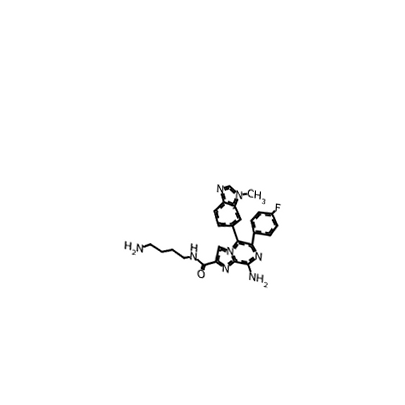 Cn1cnc2ccc(-c3c(-c4ccc(F)cc4)nc(N)c4nc(C(=O)NCCCCN)cn34)cc21